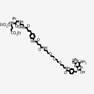 CCCCOc1nc(N)c2nc(O)n(Cc3ccc(C(=O)NCCCOCCOCCOCCCNC(=O)CCC(=O)Nc4ccc(/C=C/C(=O)NCC(=O)N[C@H](C(=O)N[C@H](CCC(=O)OCC)C(=O)OCC)C(C)C)cc4)cc3)c2n1